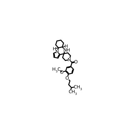 COc1cc(C(=O)N2CCC3(CC2)N[C@H]2CCCC[C@H]2n2cccc23)ccc1OCCC(C)C